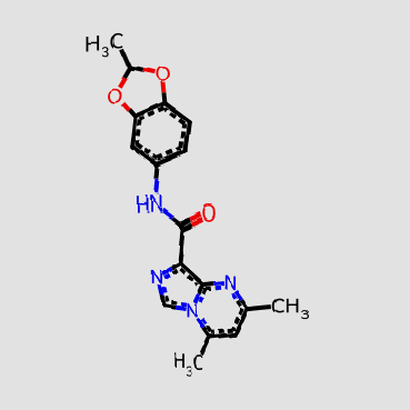 Cc1cc(C)n2cnc(C(=O)Nc3ccc4c(c3)OC(C)O4)c2n1